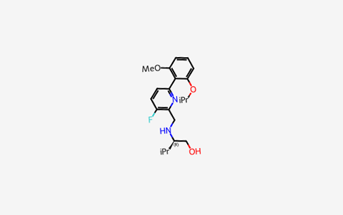 COc1cccc(OC(C)C)c1-c1ccc(F)c(CN[C@@H](CO)C(C)C)n1